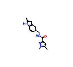 Cc1cc2c([nH]1)C=CC(CNC(=O)c1cc(C)n(C)n1)C2